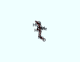 C=CC(=O)Nc1cc(Nc2nc(-c3ccnc(N4CCn5c(cc6c5CC(C)(C)C6)C4=O)c3CO)cnc2OC)ccc1N1CCN(C2CCN(c3ccnc(N4CCN(C5CCOCC5)C[C@@H]4C)c3)[C@@H](C)C2)C[C@@H]1C